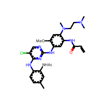 C=CC(=O)Nc1cc(Nc2ncc(Cl)c(Nc3ccc(C)cc3NC(C)=O)n2)c(OC)cc1N(C)CCN(C)C